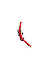 CCCCCCCCCCCCCCCCCCOC(C)c1ccc(-c2ccc(OC(=O)c3ccc(OCCCCCCCCCCCCCCC)cc3)cc2)cc1